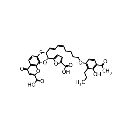 CCCc1c(OCCCC/C=C\C=C\[C@H](Sc2ccc3c(=O)cc(C(=O)O)oc3c2)[C@H](O)c2ccc(C(=O)O)o2)ccc(C(C)=O)c1O